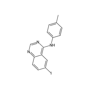 Cc1ccc(Nc2ncnc3ccc(I)cc23)cc1